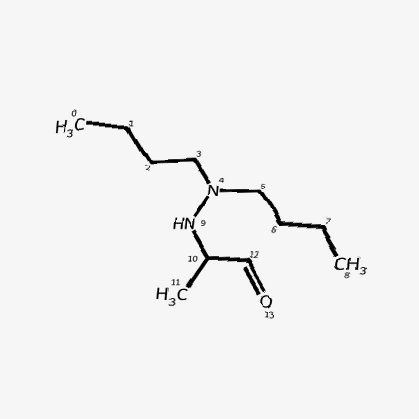 CCCCN(CCCC)NC(C)C=O